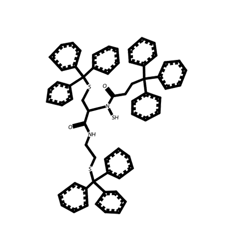 O=C(NCCSC(c1ccccc1)(c1ccccc1)c1ccccc1)C(CSC(c1ccccc1)(c1ccccc1)c1ccccc1)N(S)C(=O)CCC(c1ccccc1)(c1ccccc1)c1ccccc1